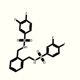 O=S(=O)(NCc1ccccc1CNS(=O)(=O)c1ccc(F)c(F)c1)c1ccc(F)c(F)c1